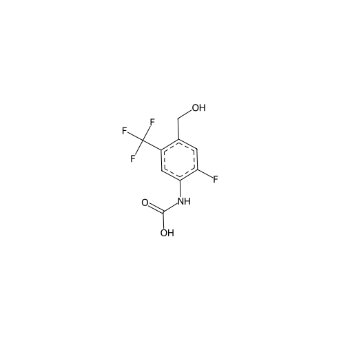 O=C(O)Nc1cc(C(F)(F)F)c(CO)cc1F